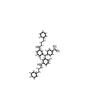 CCN(CC)c1ccc(C(c2cc(NCCCc3ccccc3)ccc2C)c2cc(NCCCc3ccccc3)ccc2C)cc1